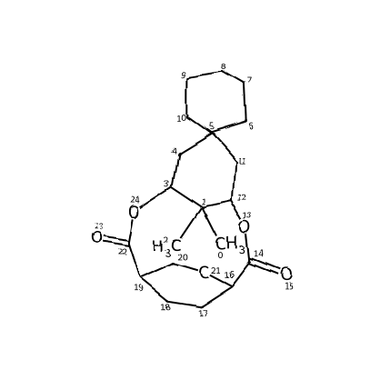 CC1(C)C2CC3(CCCCC3)CC1OC(=O)C1CCC(CC1)C(=O)O2